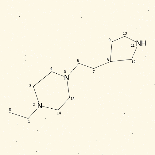 CCN1CCN(CCC2CCNC2)CC1